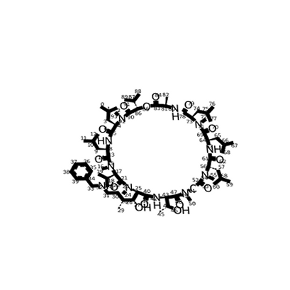 CC(C)C[C@@H]1C(=O)N[C@H](CC(C)C)C(=O)N(C)[C@H](C(C)C)C(=O)N(C)[C@H]([C@H](O)[C@H](C)CCNCc2ccccc2)C(=O)N[C@H]([C@@H](C)O)C(=O)N(C)CC(=O)N(C)[C@@H](CC(C)C)C(=O)N[C@H](CC(C)C)C(=O)N(C)[C@H](CC(C)C)C(=O)N[C@H](C)C(=O)O[C@@H](C(C)C)C(=O)N1C